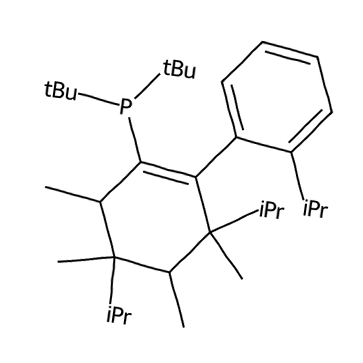 CC(C)c1ccccc1C1=C(P(C(C)(C)C)C(C)(C)C)C(C)C(C)(C(C)C)C(C)C1(C)C(C)C